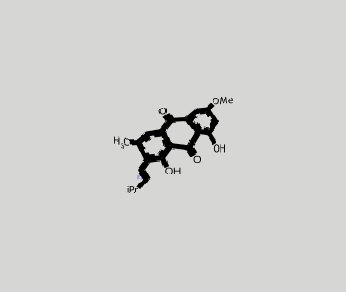 COc1cc(O)c2c(c1)C(=O)c1cc(C)c(/C=C/C(C)C)c(O)c1C2=O